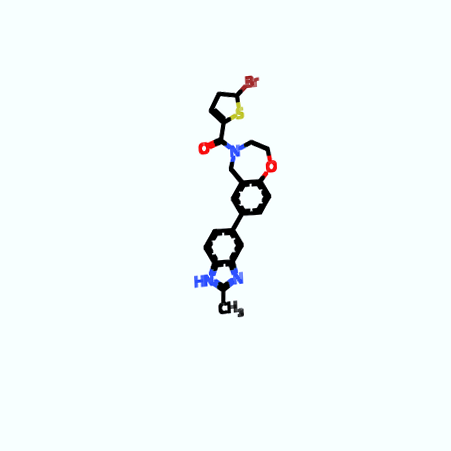 Cc1nc2cc(-c3ccc4c(c3)CN(C(=O)C3=CCC(Br)S3)CCO4)ccc2[nH]1